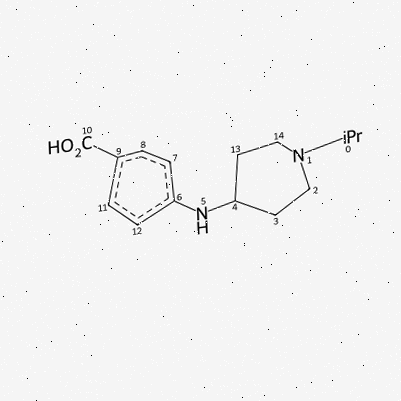 CC(C)N1CCC(Nc2ccc(C(=O)O)cc2)CC1